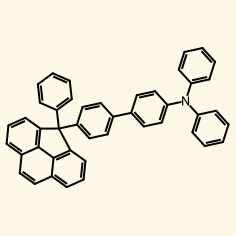 c1ccc(N(c2ccccc2)c2ccc(-c3ccc(C4(c5ccccc5)c5cccc6ccc7cccc4c7c56)cc3)cc2)cc1